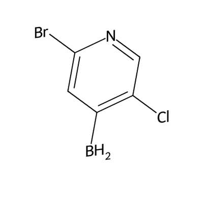 Bc1cc(Br)ncc1Cl